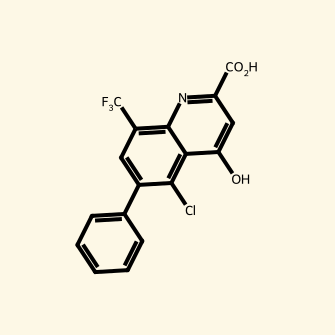 O=C(O)c1cc(O)c2c(Cl)c(-c3ccccc3)cc(C(F)(F)F)c2n1